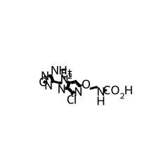 CCn1c(-c2nonc2N)nc2c(Cl)nc(OCCNC(=O)O)cc21